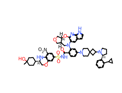 CC1(O)CCC([C@@H]2COc3cc(S(=O)(=O)NC(=O)c4ccc(N5CCC6(CC5)CC(N5CCC[C@H]5c5ccccc5C5CC5)C6)cc4N4C[C@H]5COC[C@@H]5Oc5nc6[nH]ccc6cc54)cc([N+](=O)[O-])c3N2)CC1